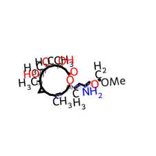 C=C(OC)O/C=C(N)/C=C(\C)[C@@H]1C/C=C(/C)CC2CC2[C@H](C)[C@H](O)[C@@H](C)C(=O)C(C)(C)[C@@H](O)CC(=O)O1